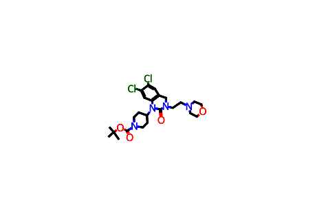 CC(C)(C)OC(=O)N1CCC(N2C(=O)N(CCN3CCOCC3)Cc3cc(Cl)c(Cl)cc32)CC1